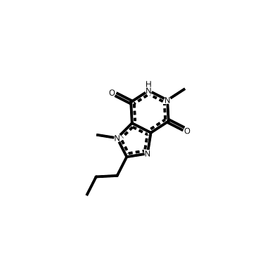 CCCc1nc2c(=O)n(C)[nH]c(=O)c2n1C